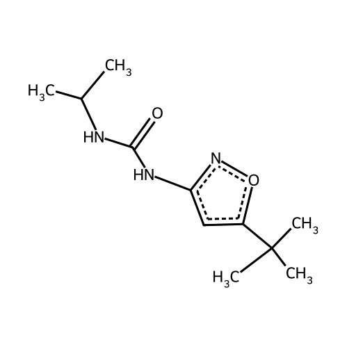 CC(C)NC(=O)Nc1cc(C(C)(C)C)on1